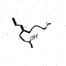 C=C/C=C(\C=C/C(=C)O)CCCSC